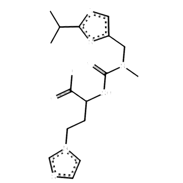 CC(C)c1nc(CN(C)C(=O)NC(CCn2ccnc2)C(=O)I)cs1